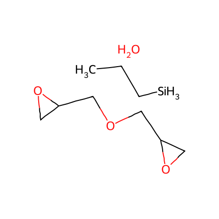 C(OCC1CO1)C1CO1.CCC[SiH3].O